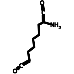 NC(=C=O)CCCCCC=C=O